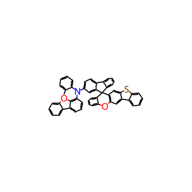 Cc1ccccc1N(c1ccc2c(c1)C1(c3ccccc3Oc3cc4c(cc31)sc1ccccc14)c1ccccc1-2)c1cccc2c1oc1ccccc12